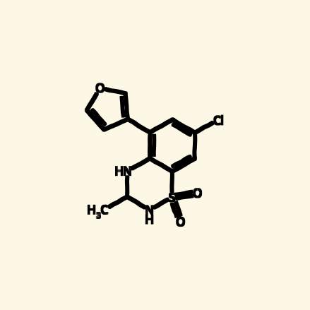 CC1Nc2c(-c3ccoc3)cc(Cl)cc2S(=O)(=O)N1